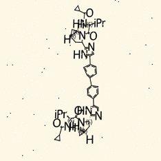 CC(C)[C@H](NC(=O)C1CC1)C(=O)N1C(c2ncc(-c3ccc(-c4ccc(-c5cnc([C@@H]6C[C@H]7C[C@H]7N6C(=O)[C@@H](NC(=O)C6CC6)C(C)C)[nH]5)cc4)cc3)[nH]2)C[C@H]2C[C@H]21